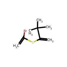 C=C(Br)SC(=C)C(C)(C)C